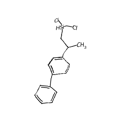 CC(C[SiH](Cl)Cl)c1ccc(-c2ccccc2)cc1